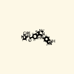 Cn1nccc1NC(=O)C1CCc2c(sc3ncnc(Nc4ccc5[nH]ncc5c4)c23)C1